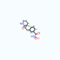 CN1CCCC2(CCc3cc(C(=O)NO)ccc3S2)C1=O